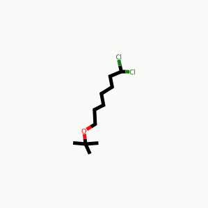 CC(C)(C)OCCCCCC[C](Cl)Cl